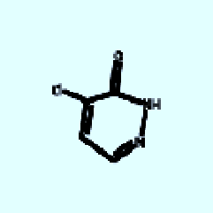 O=c1[nH]nccc1Cl